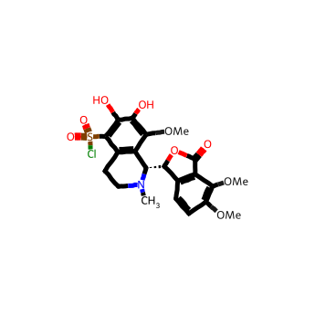 COc1ccc2c(c1OC)C(=O)OC2[C@H]1c2c(c(S(=O)(=O)Cl)c(O)c(O)c2OC)CCN1C